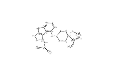 CC[C@]1(N(C)C)CC[C@H](Oc2ncnc3sc4c(c23)[C@@H](C[C@@H](C)O)CC4)CC1